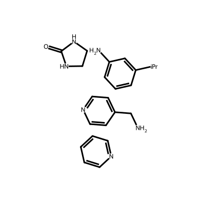 CC(C)c1cccc(N)c1.NCc1ccncc1.O=C1NCCN1.c1ccncc1